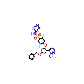 Cn1nccc1C1C[C@H](OCc2ccccc2)CC1Oc1cc(F)c(S(=O)(=O)Nc2ccncn2)cc1F